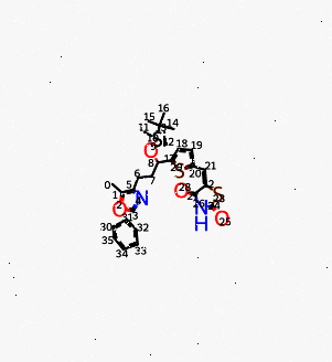 Cc1ocnc1CCC(O[Si](C)(C)C(C)(C)C)c1ccc(C=C2SC(=O)NC2=O)s1.c1ccccc1